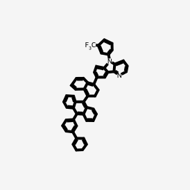 FC(F)(F)c1cccc(-n2c3ccc(C4=c5ccccc5=C(c5c6ccccc6c(-c6cccc(C7=CCCC=C7)c6)c6ccccc56)CC4)cc3c3ncccc32)c1